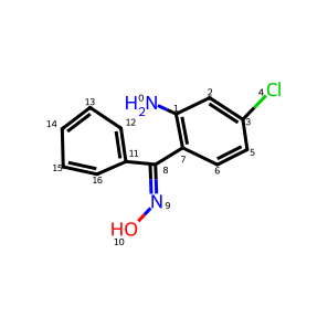 Nc1cc(Cl)ccc1C(=NO)c1ccccc1